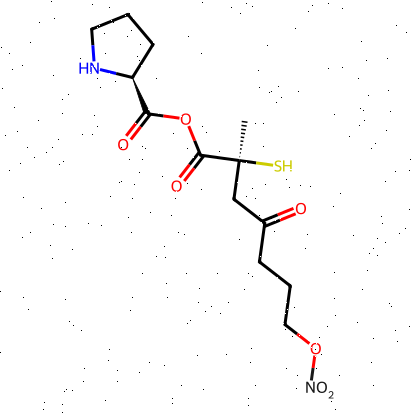 C[C@](S)(CC(=O)CCCO[N+](=O)[O-])C(=O)OC(=O)[C@@H]1CCCN1